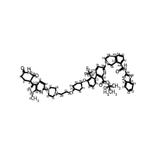 Cn1nc(C2CCC(=O)NC2=O)c2ccc(N3CCN(CCOC4CCC(Oc5cccc(-c6ccc(N7CCc8cccc(C(=O)Nc9nc%10ccccc%10s9)c8C7)nc6C(=O)OC(C)(C)C)c5C(F)(F)F)CC4)CC3)nc21